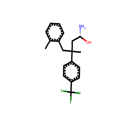 Cc1ccccc1CC(C)(C[C@H](N)O)c1ccc(C(F)(F)F)cc1